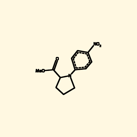 COC(=O)C1CCCN1c1ccc([N+](=O)[O-])cc1